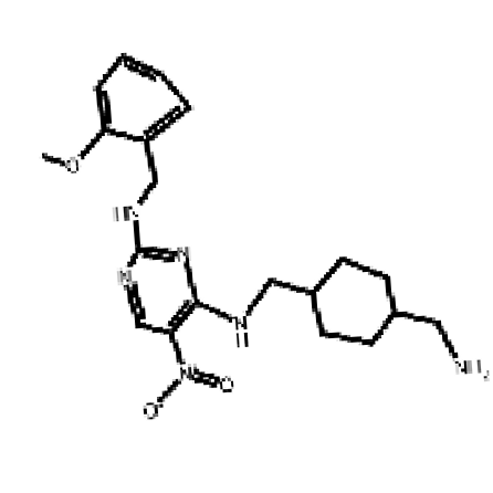 COc1ccccc1CNc1ncc([N+](=O)[O-])c(NCC2CCC(CN)CC2)n1